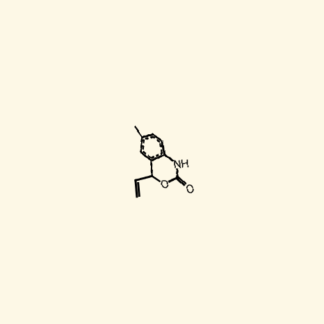 C=CC1OC(=O)Nc2ccc(C)cc21